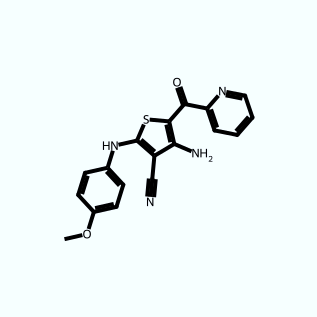 COc1ccc(Nc2sc(C(=O)c3ccccn3)c(N)c2C#N)cc1